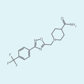 NC(=O)C1CCN(Cc2nc(-c3ccc(C(F)(F)F)cc3)no2)CC1